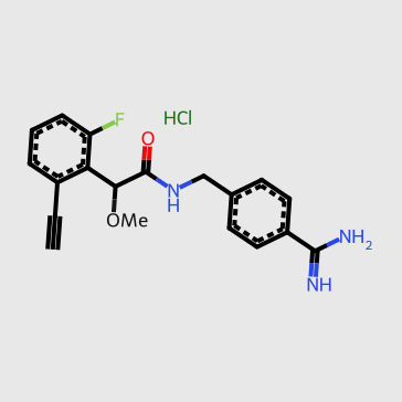 C#Cc1cccc(F)c1C(OC)C(=O)NCc1ccc(C(=N)N)cc1.Cl